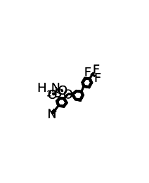 N#Cc1ccc(Oc2cccc(-c3ccc(C(F)(F)F)cc3)c2)c(S(N)(=O)=O)c1